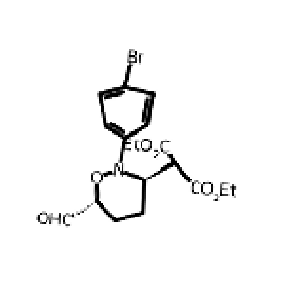 CCOC(=O)C(C(=O)OCC)[C@H]1CC[C@H](C=O)ON1c1ccc(Br)cc1